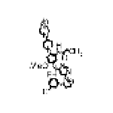 C=CC(=O)Nc1cc(Nc2cc(N3OCC[C@@H]3c3cc(F)cc(Cl)c3)ncn2)c(OC)cc1N1CCC(N2CCN(C(C)C)CC2)CC1